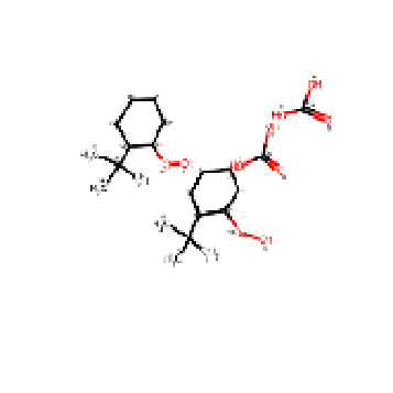 CC(C)(C)C1CCCCC1OO.CC(C)(C)C1CCCCC1OO.O=C(O)O.O=C(O)O